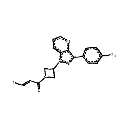 O=C(C=CF)N1CC(n2nc(-c3ccc(C(F)(F)F)cc3)c3ncccc32)C1